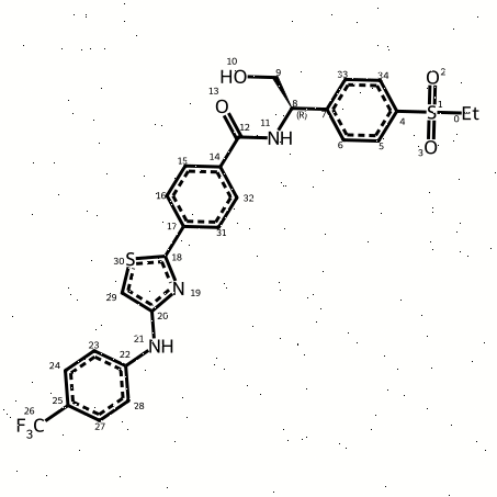 CCS(=O)(=O)c1ccc([C@H](CO)NC(=O)c2ccc(-c3nc(Nc4ccc(C(F)(F)F)cc4)cs3)cc2)cc1